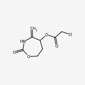 C=C1NC(=O)OCCC1OC(=O)CCl